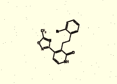 O=c1[nH]ccc(-c2noc(C(F)(F)F)n2)c1CCc1ccccc1Br